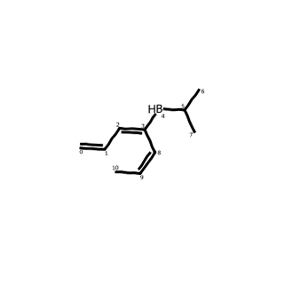 C=C/C=C(BC(C)C)\C=C/C